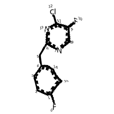 Fc1ccc(Cc2ncc(F)c(Cl)n2)cc1